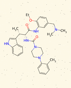 CCOc1ccc(CN(C)C)cc1NC(=O)[C@H](NC(=O)N1CCN(c2ccccc2C)CC1)[C@@H](C)c1c[nH]c2ccccc12